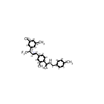 Cc1ccc(CNC(=O)c2ccc(/C=C/C(c3cc(C)cc(Cl)c3)C(F)(F)F)cc2C)cc1